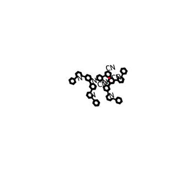 N#Cc1cc(-c2ccc(-n3c4ccc(-c5cccc(-c6ccccc6)n5)cc4c4cc(-c5cccc(-c6ccccc6)n5)ccc43)c(C#N)c2-n2c3ccc(-c4cccc(-c5ccccc5)n4)cc3c3cc(-c4cccc(-c5ccccc5)n4)ccc32)cc(C(F)(F)F)c1